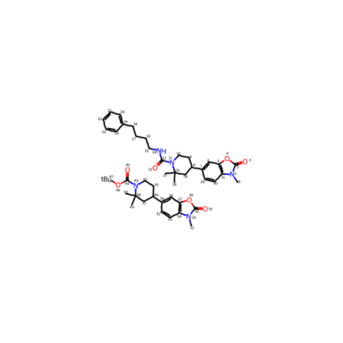 Cn1c(=O)oc2cc(C3CCN(C(=O)NCCCCc4ccccc4)C(C)(C)C3)ccc21.Cn1c(=O)oc2cc(C3CCN(C(=O)OC(C)(C)C)C(C)(C)C3)ccc21